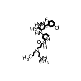 CCCN(CCNC)CCC(=O)Nc1cc(NC(/C=C(\N)c2cc(Cl)ccc2F)=C(/N)S)ccn1